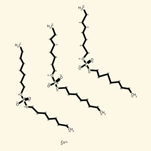 CCCCCCCCOP(=O)([O-])OCCCCCCCC.CCCCCCCCOP(=O)([O-])OCCCCCCCC.CCCCCCCCOP(=O)([O-])OCCCCCCCC.[Co+3]